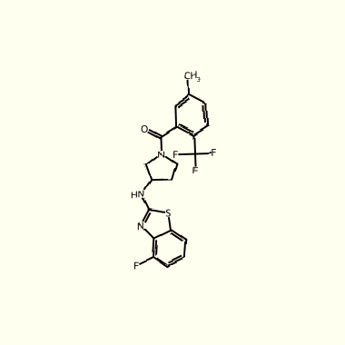 Cc1ccc(C(F)(F)F)c(C(=O)N2CCC(Nc3nc4c(F)cccc4s3)C2)c1